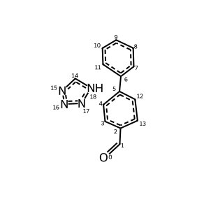 O=Cc1ccc(-c2ccccc2)cc1.c1nnn[nH]1